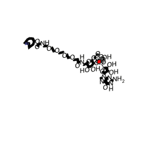 Nc1nc2c(ncn2[C@@H]2O[C@H](COP(=O)(O)OP(=O)(O)O[C@H]3OC(CNC(=O)CCOCCOCCOCCOCCNC(=O)OC4CC/C=C/CCC4)[C@@H](O)C(O)C3O)[C@H](O)C2O)c(=O)[nH]1